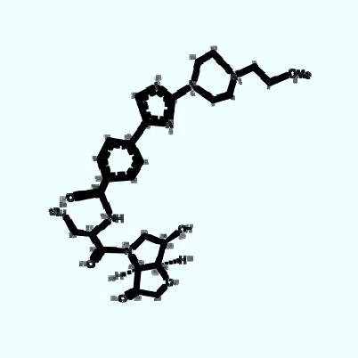 COCCN1CCN(c2nc(-c3ccc(C(=O)NC(CC(C)(C)C)C(=O)N4C[C@@H](O)[C@H]5OCC(=O)[C@H]54)cc3)cs2)CC1